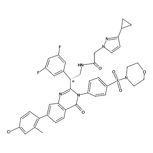 Cc1cc(Cl)ccc1-c1ccc2c(=O)n(-c3ccc(S(=O)(=O)N4CCOCC4)cc3)c([C@@H](CNC(=O)Cn3ccc(C4CC4)n3)c3cc(F)cc(F)c3)nc2c1